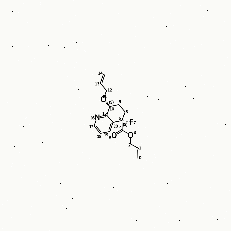 C=CCOC(=O)[C@]1(F)CC[C@H](OCC=C)c2ncccc21